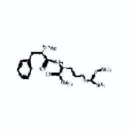 CN[C@@H](Cc1ccccc1)C(=O)N[C@@H](CCCNC(N)=N[N+](=O)[O-])C(=O)OC